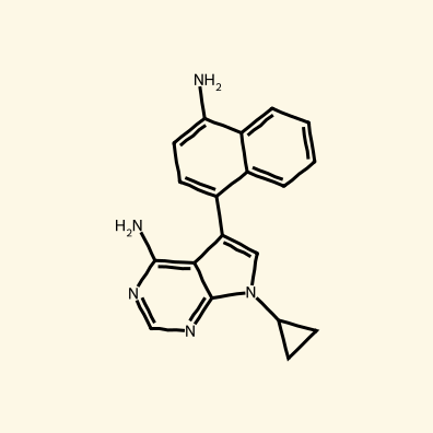 Nc1ccc(-c2cn(C3CC3)c3ncnc(N)c23)c2ccccc12